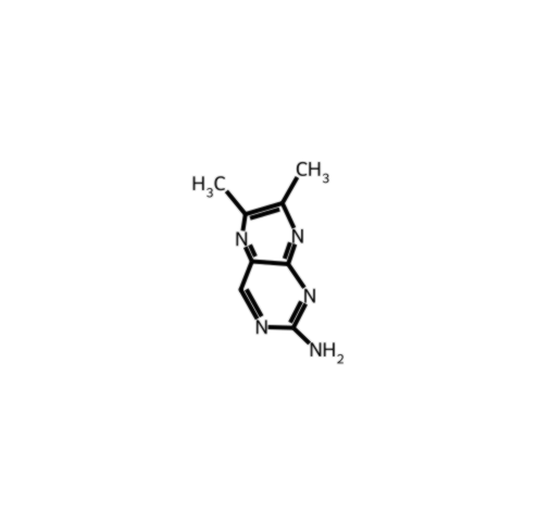 Cc1nc2cnc(N)nc2nc1C